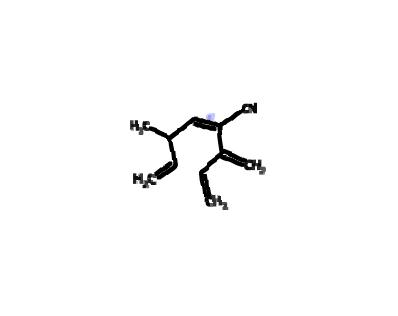 C=CC(=C)/C(C#N)=C\C(C)C=C